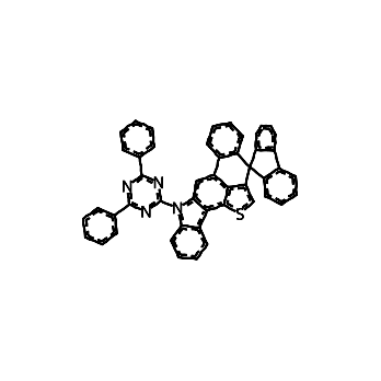 c1ccc(-c2nc(-c3ccccc3)nc(-n3c4ccccc4c4c5scc6c5c(cc43)-c3ccccc3C63c4ccccc4-c4ccccc43)n2)cc1